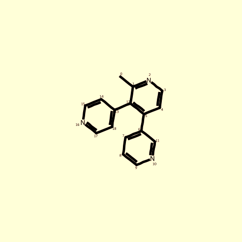 Cc1nccc(-c2cccnc2)c1-c1ccncc1